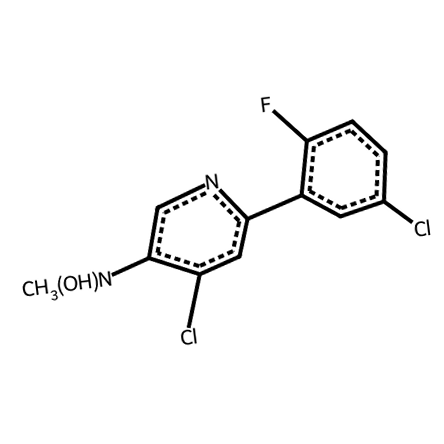 CN(O)c1cnc(-c2cc(Cl)ccc2F)cc1Cl